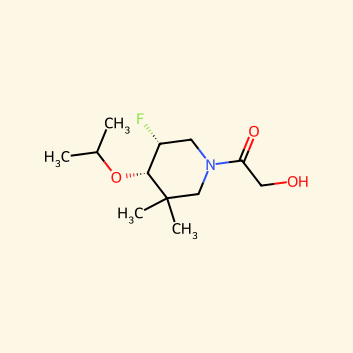 CC(C)O[C@@H]1[C@H](F)CN(C(=O)CO)CC1(C)C